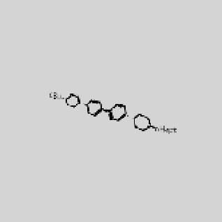 CCCCCCC[C@H]1CC[C@H](c2ccc(-c3ccc([C@H]4CC[C@H](CCCC)CC4)cc3)cc2)CC1